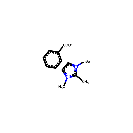 CCCCn1cc[n+](C)c1C.O=C([O-])c1ccccc1